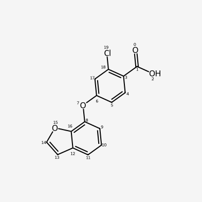 O=C(O)c1ccc(Oc2cccc3ccoc23)cc1Cl